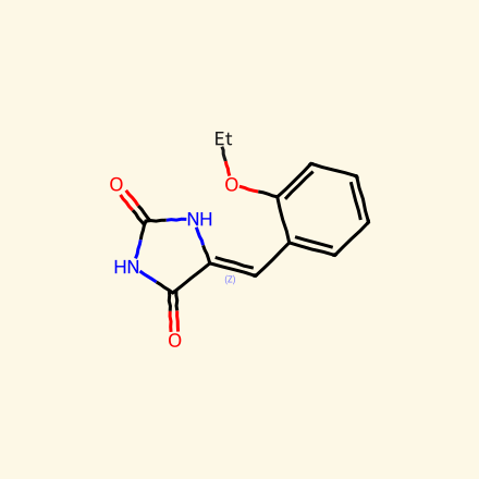 CCOc1ccccc1/C=C1\NC(=O)NC1=O